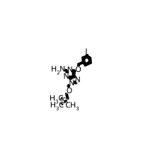 C[Si](C)(C)CCOCn1cnc2c(OCc3cccc(I)c3)nc(N)nc21